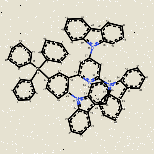 c1ccc([Si](c2ccccc2)(c2ccccc2)c2ccc(-n3c4ccccc4c4ccccc43)c(-c3cc(-n4c5ccccc5c5ccccc54)cc(-n4c5ccccc5c5ccccc54)n3)c2)cc1